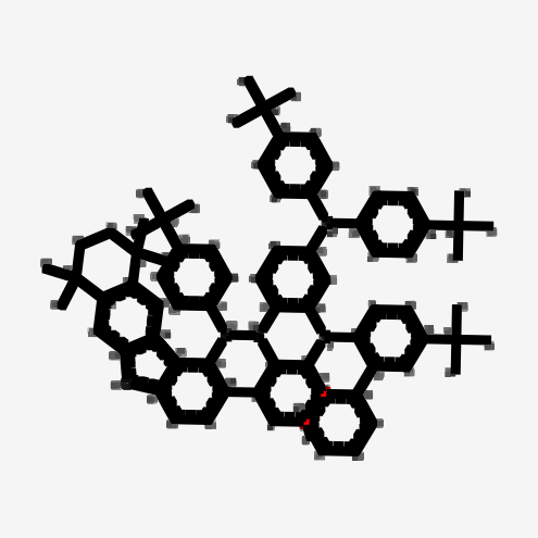 Cc1cc2c3c(c1)N(c1ccc(C(C)(C)C)cc1-c1ccccc1)c1cc(N(c4ccc(C(C)(C)C)cc4)c4ccc(C(C)(C)C)cc4)ccc1B3N(c1ccc(C(C)(C)C)cc1)c1c-2ccc2oc3cc4c(cc3c12)C(C)(C)CCC4(C)C